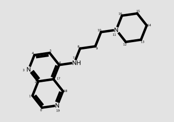 c1cc2nccc(NCCCN3CCCCC3)c2cn1